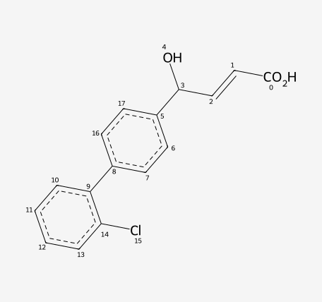 O=C(O)/C=C/C(O)c1ccc(-c2ccccc2Cl)cc1